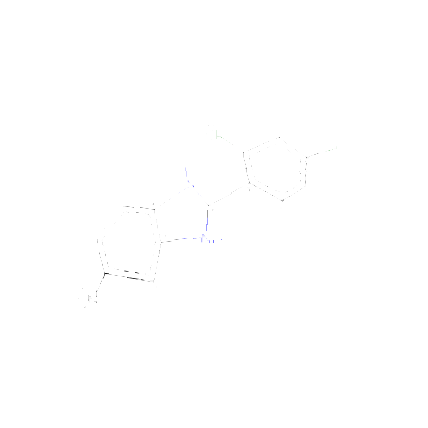 O=[N+]([O-])c1ccc2c(c1)NC(c1ccc(Cl)cc1Cl)N2